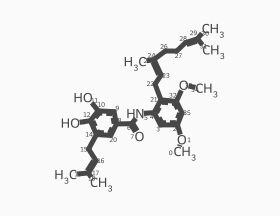 COc1cc(NC(=O)c2cc(O)c(O)c(CC=C(C)C)c2)c(C/C=C(\C)CCC=C(C)C)c(OC)c1